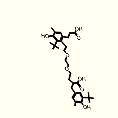 Cc1cc(CC(CCOCCOCCc2c(CCC(=O)O)cc(C)c(O)c2C(C)(C)C)C(=O)O)cc(C(C)(C)C)c1O